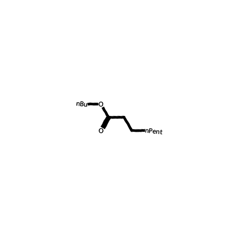 [CH2]CCCOC(=O)CCCCCCC